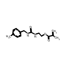 C=C(C)C(=O)OCCNC(=O)NCc1ccc(C)cc1